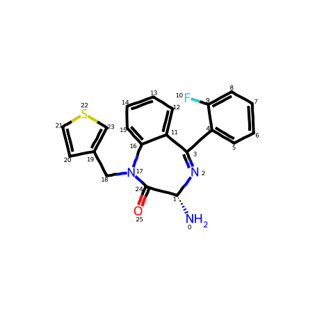 N[C@H]1N=C(c2ccccc2F)c2ccccc2N(Cc2ccsc2)C1=O